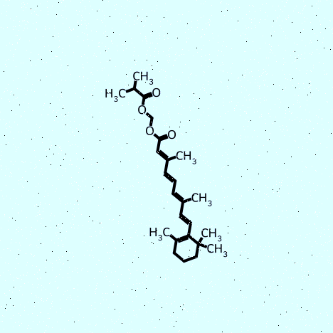 CC1=C(/C=C/C(C)=C/C=C/C(C)=C/C(=O)OCOC(=O)C(C)C)C(C)(C)CCC1